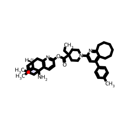 C/C=C1\[C@@H]2C=C(C)CC1(N)c1ccc(OC(=O)C3(CC)CCN(c4cc(-c5ccc(C)cc5)c5c(n4)CCCCCC5)CC3)nc1C2